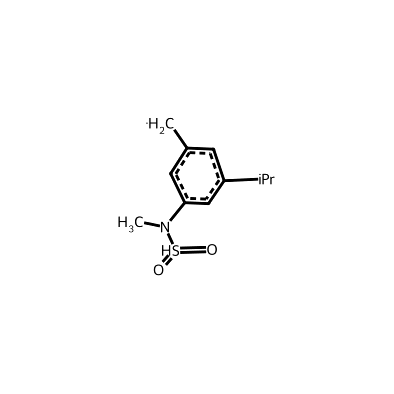 [CH2]c1cc(C(C)C)cc(N(C)[SH](=O)=O)c1